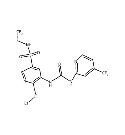 CCOc1ncc(S(=O)(=O)NCC(F)(F)F)cc1NC(=O)Nc1cc(C(F)(F)F)ccn1